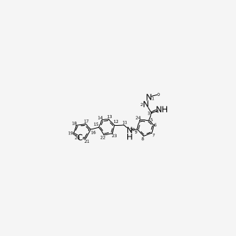 C/N=N\C(=N)c1cccc(NCc2ccc(-c3ccccc3)cc2)c1